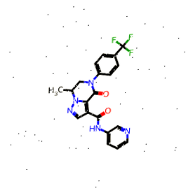 CC1CN(c2ccc(C(F)(F)F)cc2)C(=O)c2c(C(=O)Nc3cccnc3)cnn21